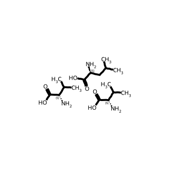 CC(C)C[C@H](N)C(=O)O.CC(C)[C@H](N)C(=O)O.CC(C)[C@H](N)C(=O)O